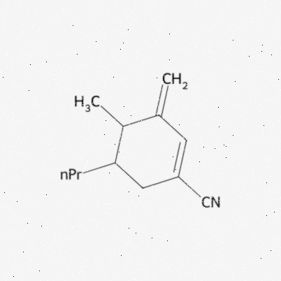 C=C1C=C(C#N)CC(CCC)C1C